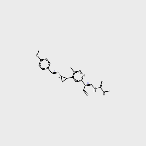 CNC(=O)N/C=C(\C=O)c1cc(C2C[C@@H]2/C=C/c2ccc(OC)cc2)c(C)nn1